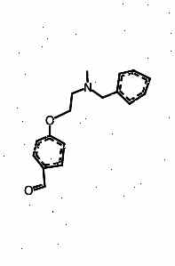 CN(CCOc1ccc(C=O)cc1)Cc1ccccc1